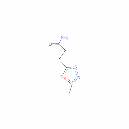 Cc1nnc(CCC(N)=O)o1